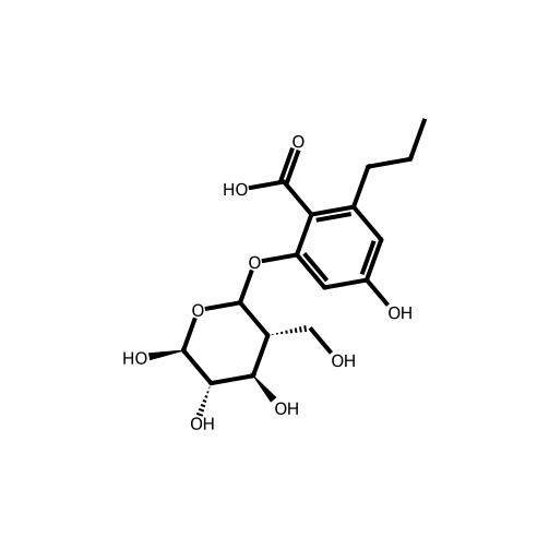 CCCc1cc(O)cc(OC2O[C@H](O)[C@@H](O)[C@H](O)[C@H]2CO)c1C(=O)O